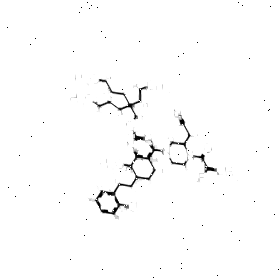 C=C(F)C(=O)N1CCN(c2nc(OCC(CCC)(CCCC)CCCC)nc3c2CCC(CCc2ccccc2Cl)C3C)CC1CC#N